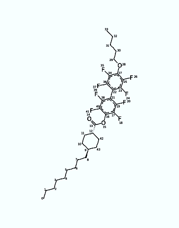 CCCCCCCCC[C@H]1CC[C@H](C(=O)Oc2c(F)c(F)c(-c3c(F)c(F)c(OCCCCC)c(F)c3F)c(F)c2F)CC1